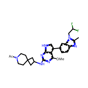 COc1nc(NC2CC3(CCN(C(C)=O)CC3)C2)nc2[nH]cc(-c3ccc4nc(C)n(CC(F)F)c4c3)c12